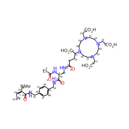 CCC(=O)N[C@@H](CNC(=O)CCC(C(=O)O)N1CCN(CC(=O)O)CCN(CC(=O)O)CCN(CC(=O)O)CC1)C(=O)NCc1ccc(CNC(=O)/C(=C\C(C)C)NC)cc1